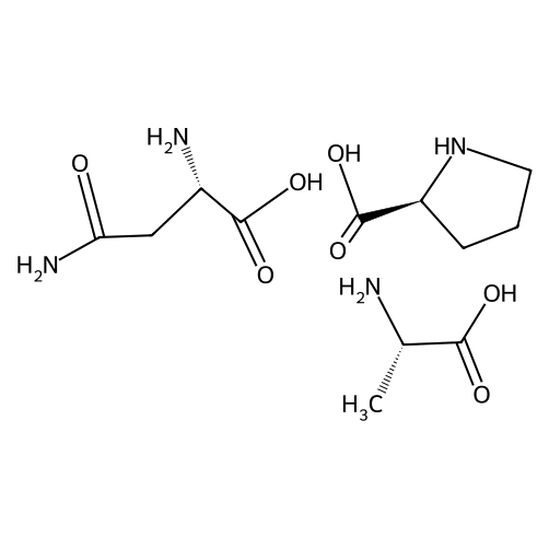 C[C@H](N)C(=O)O.NC(=O)C[C@H](N)C(=O)O.O=C(O)[C@@H]1CCCN1